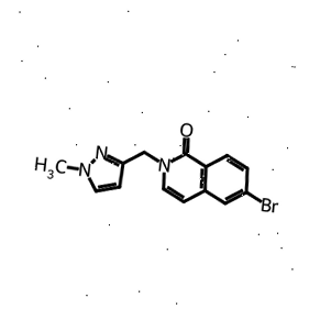 Cn1ccc(Cn2ccc3cc(Br)ccc3c2=O)n1